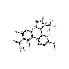 CCc1cnc(-c2c(F)cc(F)c(C(N)=O)c2F)c(-c2ccnn2C(F)(F)F)n1